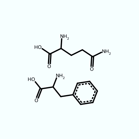 NC(=O)CCC(N)C(=O)O.NC(Cc1ccccc1)C(=O)O